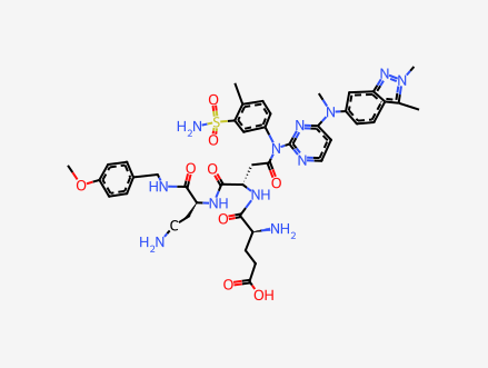 COc1ccc(CNC(=O)[C@H](CCN)NC(=O)[C@H](CC(=O)N(c2ccc(C)c(S(N)(=O)=O)c2)c2nccc(N(C)c3ccc4c(C)n(C)nc4c3)n2)NC(=O)[C@@H](N)CCC(=O)O)cc1